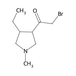 CCC1CN(C)CC1C(=O)CBr